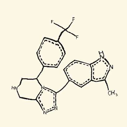 Cc1n[nH]c2ccc(-c3nnc4n3C(c3ccc(C(F)(F)F)cc3)CNC4)cc12